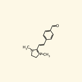 CN1CC[N+](C)=C1C=Cc1ccc(C=O)cc1